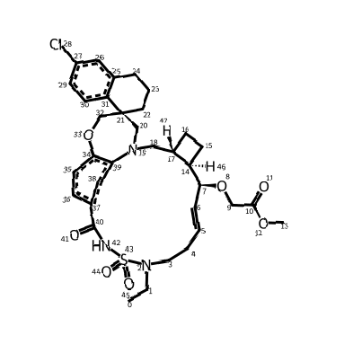 CCN1CC/C=C/[C@H](OCC(=O)OC)[C@@H]2CC[C@H]2CN2C[C@@]3(CCCc4cc(Cl)ccc43)COc3ccc(cc32)C(=O)NS1(=O)=O